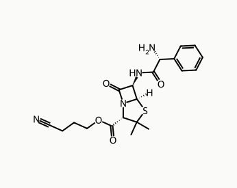 CC1(C)S[C@@H]2[C@H](NC(=O)[C@H](N)c3ccccc3)C(=O)N2[C@H]1C(=O)OCCCC#N